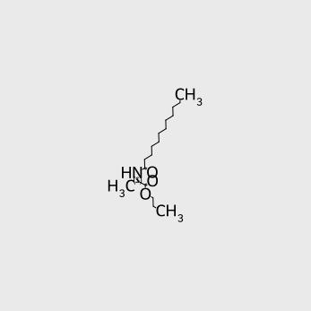 CCCCCCCCCCCC(=O)N[C@@H](C)C(=O)OCCC